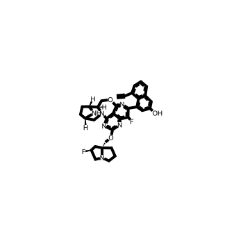 C#Cc1cccc2cc(O)cc(-c3nc4c5c(nc(OC[C@]67CCCN6C[C@@H](F)C7)nc5c3F)N3C[C@@H]5CC[C@@H](N5)[C@H]3CO4)c12